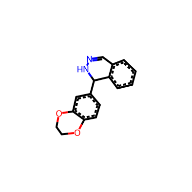 C1=NNC(c2ccc3c(c2)OCCO3)c2ccccc21